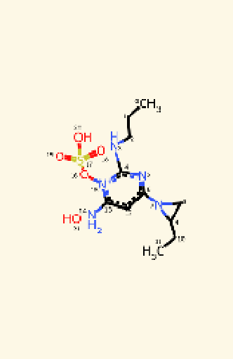 CCCNc1nc(N2CC2CC)cc(N)[n+]1OS(=O)(=O)O.[OH-]